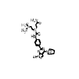 CCn1ncc2c(N3CC4CCC(C3)O4)nc(-c3ccc(NC(=O)N(CCC(N)=O)CCN(C)C)cc3)nc21